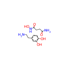 NC(=O)CCC(=O)NO.NCCc1ccc(O)c(O)c1